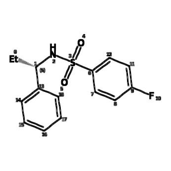 CC[C@H](NS(=O)(=O)c1ccc(F)cc1)c1ccccc1